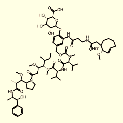 CC[C@H](C)[C@@H]([C@@H](CC(=O)N1CCC[C@H]1[C@H](OC)[C@@H](C)C(=O)N[C@H](C)[C@@H](O)c1ccccc1)OC)N(C)C(=O)[C@@H](NC(=O)[C@H](C(C)C)N(C)C(=O)OCc1ccc(O[C@@H]2O[C@H](C(=O)O)[C@@H](O)[C@H](O)[C@H]2O)c(NC(=O)CCNC(=O)C[C@@]2(O)CCCC/C=C/[C@@H]2OC)c1)C(C)C